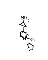 NC1CN(c2ccnc(N[C@@H]3CCOC3)n2)C1